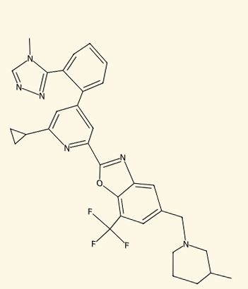 CC1CCCN(Cc2cc(C(F)(F)F)c3oc(-c4cc(-c5ccccc5-c5nncn5C)cc(C5CC5)n4)nc3c2)C1